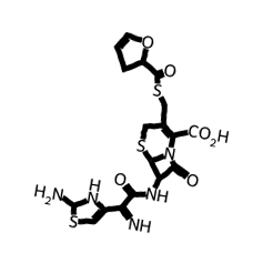 N=C(C(=O)NC1C(=O)N2C(C(=O)O)=C(CSC(=O)C3CC=CO3)CSC12)C1=CSC(N)N1